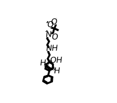 COCC(C)(COC)C(=O)N(C)CCCNCCC[C@@]1(O)C[C@H]2CC[C@@H]1C=C2c1ccccc1